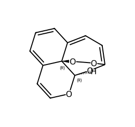 C1=CC2=CC=C3OO[C@@]24C(=C1)C=CO[C@@H]4O3